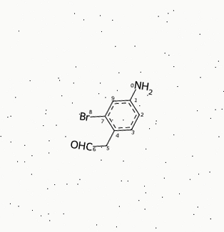 Nc1ccc(CC=O)c(Br)c1